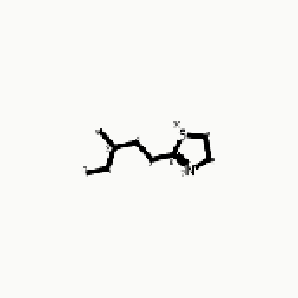 CCC(C)CCC1=N[CH]CS1